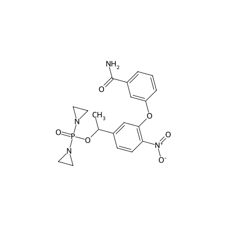 CC(OP(=O)(N1CC1)N1CC1)c1ccc([N+](=O)[O-])c(Oc2cccc(C(N)=O)c2)c1